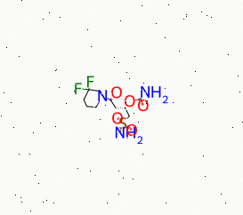 NC(=O)O[C@@H](CC(=O)N1CCCC(F)(F)C1)CS(N)(=O)=O